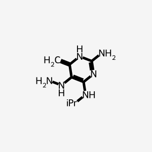 C=C1NC(N)=NC(NC(C)C)=C1NN